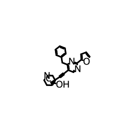 OC1(C#Cc2cnc(-c3ccco3)nc2Cc2ccccc2)CN2CCC1CC2